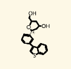 OCC1CC(O)C[C@H](c2cccc(-c3csc4ccccc34)c2)O1